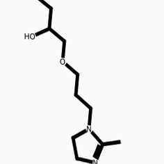 CCC(O)COCCCN1CCN=C1C